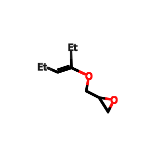 CCC=C(CC)OCC1CO1